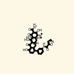 CN(C)[C@H]1C(O)=C(C(N)=O)C(=O)[C@]2(O)C(O)=C3C(=O)c4c(O)ccc(-c5cccc(NC(=O)c6ccno6)c5)c4C[C@H]3C[C@H]12